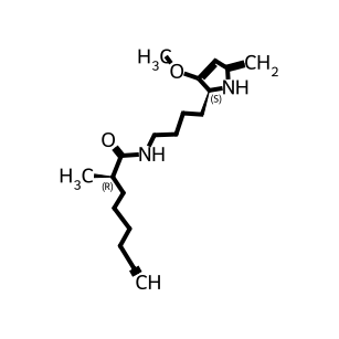 C#CCCCC[C@@H](C)C(=O)NCCCC[C@@H]1NC(=C)C=C1OC